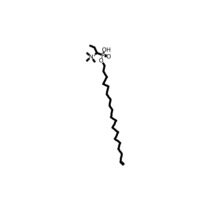 C=CCCCCCCCCCCCCCCCCCOP(=O)(O)C(CC)[N+](C)(C)C